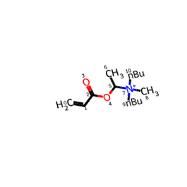 C=CC(=O)OC(C)[N+](C)(CCCC)CCCC